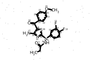 CCC(=O)NN(c1ccc(F)c(F)c1)c1nc(N)c(C(=O)c2ccc(OC)cc2)s1